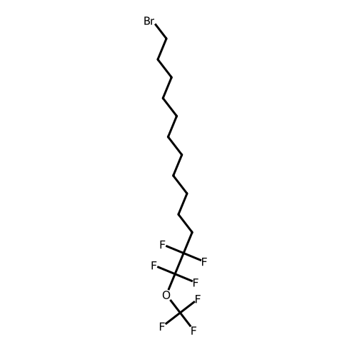 FC(F)(F)OC(F)(F)C(F)(F)CCCCCCCCCCCBr